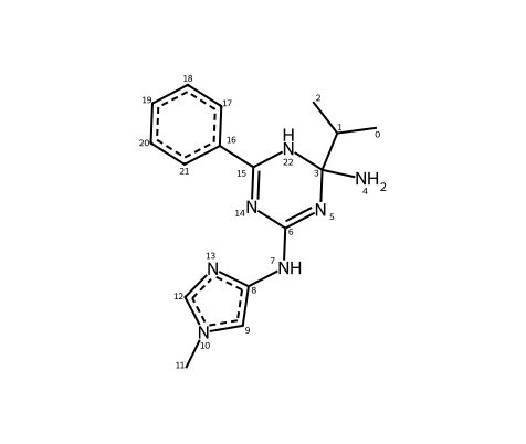 CC(C)C1(N)N=C(Nc2cn(C)cn2)N=C(c2ccccc2)N1